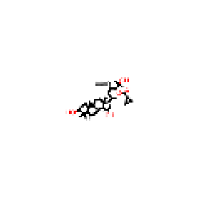 COC(C[C@@H](C)[C@H]1C[C@H](O)[C@@]2(C)C3CC[C@H]4C(C)(C)C(O)CCC45CC35CCC12C)C(OC(=O)C1CC1)C(C)(C)O